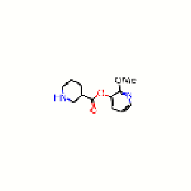 COc1ncccc1OC(=O)C1CCCNC1